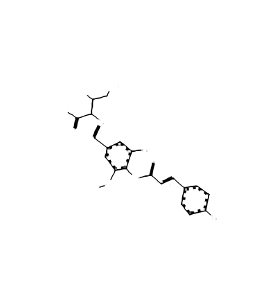 CCC(C)C(/N=C/c1cc(Br)c(OC(=O)/C=C/c2ccc(Br)cc2)c(OC)c1)C(=O)O